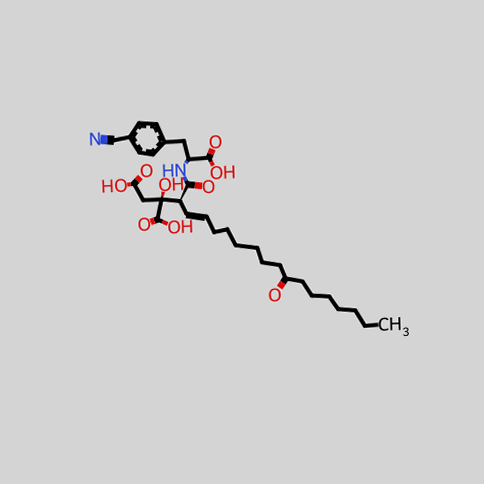 CCCCCCCC(=O)CCCCCC/C=C/[C@H](C(=O)NC(Cc1ccc(C#N)cc1)C(=O)O)[C@@](O)(CC(=O)O)C(=O)O